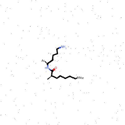 CNCCCCC[C@@H](C)C(=O)N[C@H](CCCCN)C(C)=O